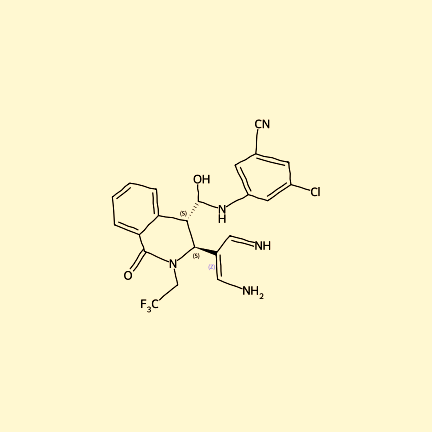 N#Cc1cc(Cl)cc(NC(O)[C@H]2c3ccccc3C(=O)N(CC(F)(F)F)[C@@H]2/C(C=N)=C/N)c1